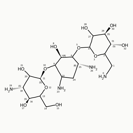 NCC1OC(OC2[C@H](O)C(O[C@H]3OC(CO)[C@@H](O)[C@H](N)C3O)C(N)C[C@H]2N)C(O)[C@@H](O)[C@@H]1O